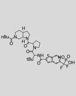 CCCCC(=O)N1CC[C@H]2CCN(C(=O)C3CCCN3C(=O)C(NC(=O)c3cc4cc(C(F)(F)P(=O)(O)O)ccc4s3)C(C)(C)C)[C@H]2C1